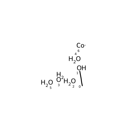 CO.O.O.O.O.[Co]